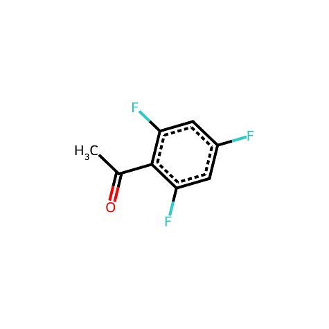 CC(=O)c1c(F)cc(F)cc1F